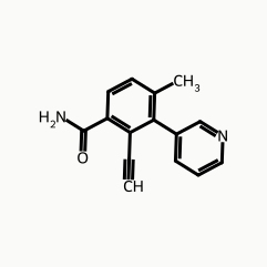 C#Cc1c(C(N)=O)ccc(C)c1-c1cccnc1